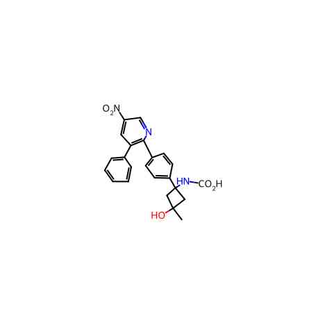 CC1(O)CC(NC(=O)O)(c2ccc(-c3ncc([N+](=O)[O-])cc3-c3ccccc3)cc2)C1